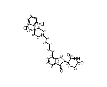 N#CC1(c2c(Cl)cccc2Cl)CCN(CCCCCc2cccc3c2CN(C2CCC(=O)NC2=O)C3=O)CC1